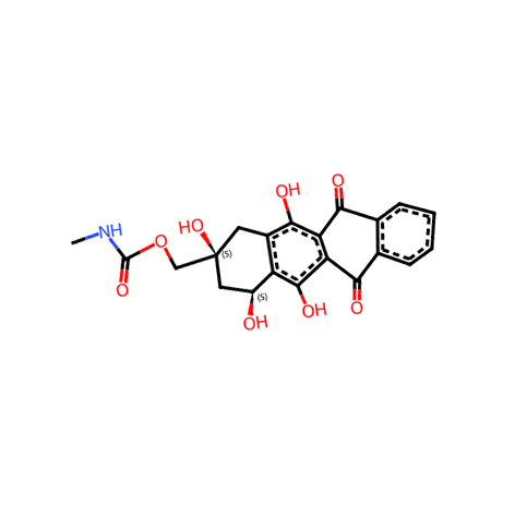 CNC(=O)OC[C@]1(O)Cc2c(O)c3c(c(O)c2[C@@H](O)C1)C(=O)c1ccccc1C3=O